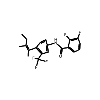 CCC(C)=C(C)c1ccc(NC(=O)c2cccc(F)c2F)cc1C(F)(F)F